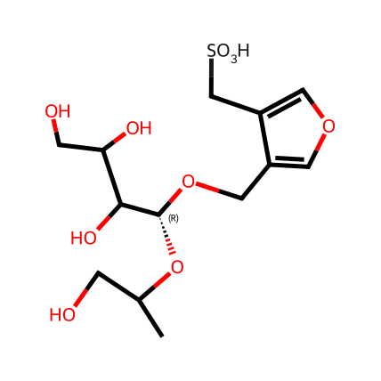 CC(CO)O[C@@H](OCc1cocc1CS(=O)(=O)O)C(O)C(O)CO